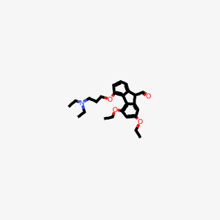 CCOc1cc(OCC)c2c(c1)C(C=O)c1cccc(OCCCN(CC)CC)c1-2